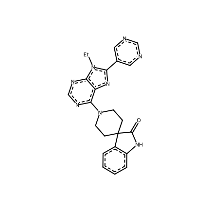 CCn1c(-c2cncnc2)nc2c(N3CCC4(CC3)C(=O)Nc3ccccc34)ncnc21